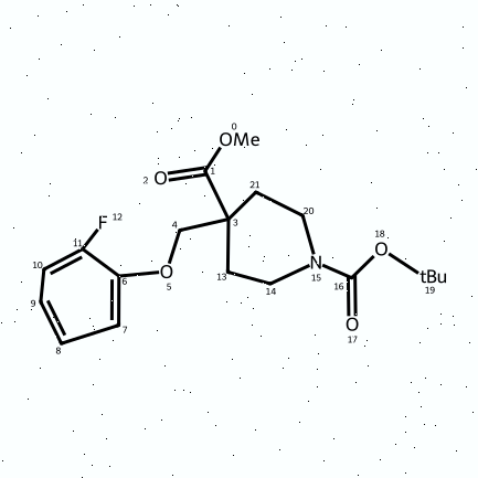 COC(=O)C1(COc2ccccc2F)CCN(C(=O)OC(C)(C)C)CC1